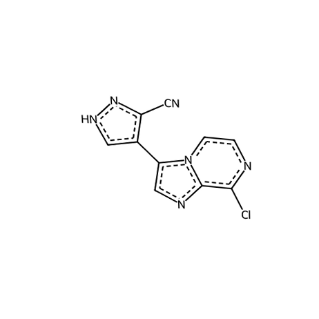 N#Cc1n[nH]cc1-c1cnc2c(Cl)nccn12